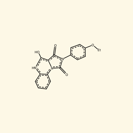 CCOc1ccc(-n2c(=O)c3c(O)[nH]c4ccccc4n-3c2=O)cc1